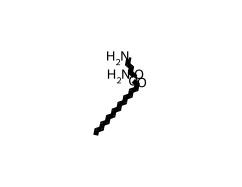 CCCCCCCCCCCCCCCC(=O)OC(=O)[C@@H](N)CCCN